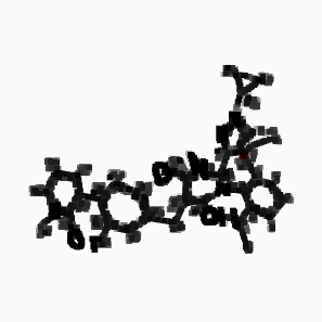 CCc1cccc(CC)c1-n1c(-c2ccn(C3CC3)n2)nc(=O)c(Cc2ccc(-c3cccn(C)c3=O)c(F)c2)c1O